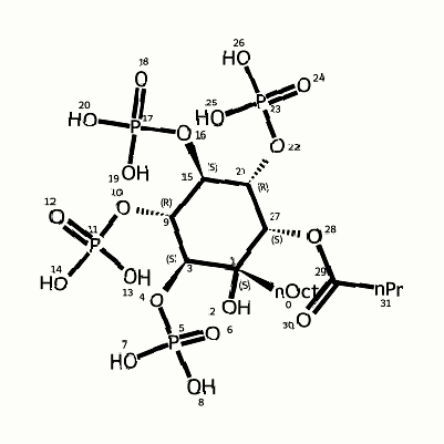 CCCCCCCC[C@@]1(O)[C@@H](OP(=O)(O)O)[C@H](OP(=O)(O)O)[C@@H](OP(=O)(O)O)[C@H](OP(=O)(O)O)[C@@H]1OC(=O)CCC